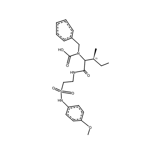 CC[C@H](C)C(C(=O)NCCS(=O)(=O)Nc1ccc(OC)cc1)N(Cc1ccccc1)C(=O)O